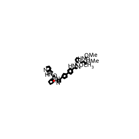 COC(=O)N[C@H](C(=O)N1CCC[C@H]1c1ncc(-c2ccc(-c3ccc(-c4cnc([C@H]5C6CCC(C6)[C@@H]5C(=O)NCc5cccnc5C(C)C)[nH]4)cc3)cc2)[nH]1)[C@@H](C)OC